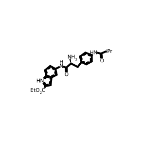 CCOC(=O)c1cc2cc(NC(=O)[C@@H](N)Cc3ccc(NC(=O)C(C)C)cc3)ccc2[nH]1